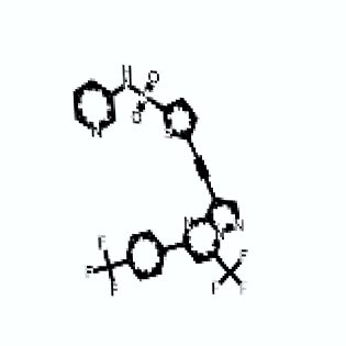 O=S(=O)(Nc1cccnc1)c1ccc(C#Cc2cnn3c(C(F)(F)F)cc(-c4ccc(C(F)(F)F)cc4)nc23)s1